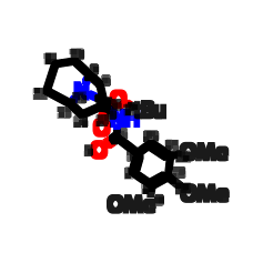 COc1cc(C(=O)NC2CC3CCCC(C2)N3C(=O)OC(C)(C)C)cc(OC)c1OC